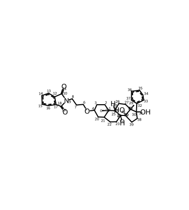 C[C@]12CCC(OCCCN3C(=O)c4ccccc4C3=O)CC1CC[C@@H]1[C@H]2CC[C@]2(C)C(O)(c3ccccc3)CC[C@@]12O